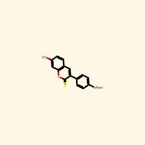 CCCCCc1ccc(-c2cc3ccc(O)cc3oc2=S)cc1